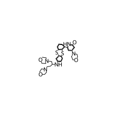 O=c1cc(N2CCOCC2)cc(-c2cccc3c2Sc2ccc(NC(CCN4CCOCC4)CN4CCOCC4)cc2S3)[nH]1